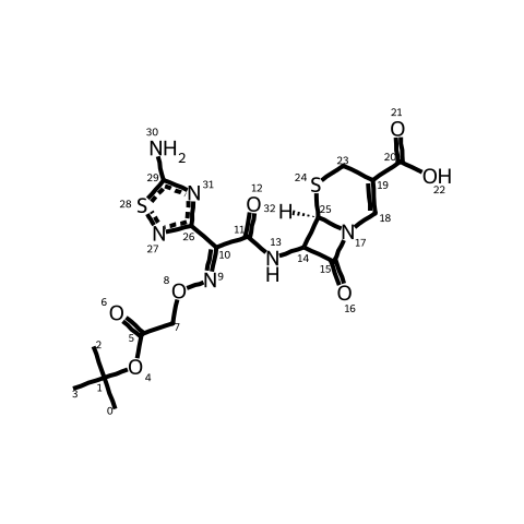 CC(C)(C)OC(=O)CON=C(C(=O)NC1C(=O)N2C=C(C(=O)O)CS[C@H]12)c1nsc(N)n1